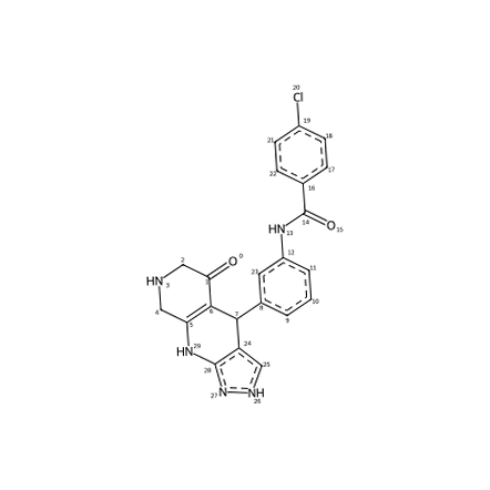 O=C1CNCC2=C1C(c1cccc(NC(=O)c3ccc(Cl)cc3)c1)c1c[nH]nc1N2